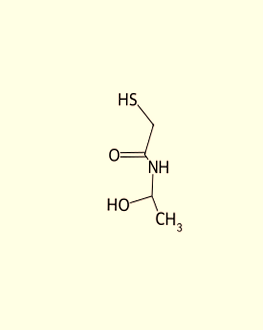 CC(O)NC(=O)CS